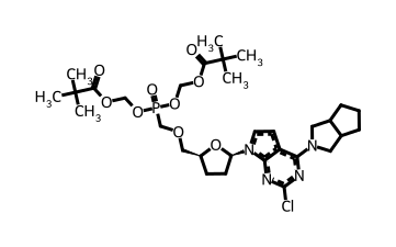 CC(C)(C)C(=O)OCOP(=O)(COC[C@@H]1CC[C@H](n2ccc3c(N4CC5CCCC5C4)nc(Cl)nc32)O1)OCOC(=O)C(C)(C)C